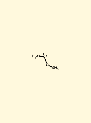 [SiH3]O[SiH2][AsH2]